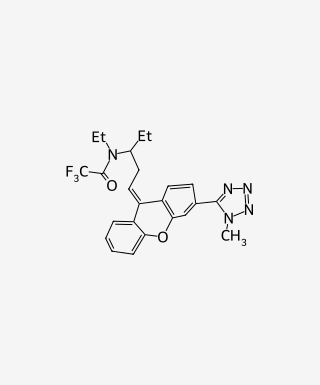 CCC(C/C=C1/c2ccccc2Oc2cc(-c3nnnn3C)ccc21)N(CC)C(=O)C(F)(F)F